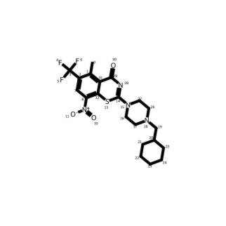 Cc1c(C(F)(F)F)cc([N+](=O)[O-])c2sc(N3CCN(CC4CCCCC4)CC3)nc(=O)c12